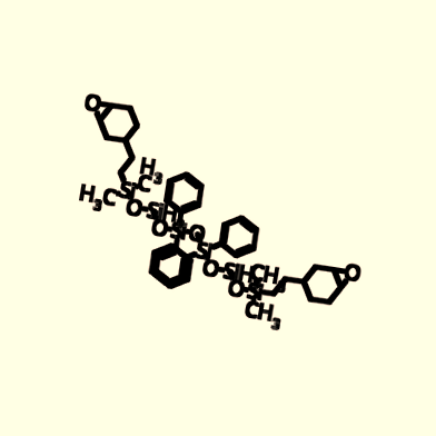 C[Si](C)(CCC1CCC2OC2C1)O[SiH2]O[Si](O[Si](O[SiH2]O[Si](C)(C)CCC1CCC2OC2C1)(c1ccccc1)c1ccccc1)(c1ccccc1)c1ccccc1